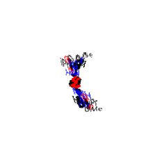 COC(=O)N[C@H](C(=O)N1[C@H](c2nc(-c3ccc(-c4cc5ccc4CCc4ccc(c(-c6ccc(-c7c[nH]c([C@@H]8C[C@@H]9CCCC[C@@H]9N8C(=O)[C@@H](NC(=O)OC)C(C)C)n7)cc6)c4)CC5)cc3)c[nH]2)C[C@@H]2CCCC[C@@H]21)C(C)C